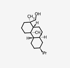 CC(C)[C@H]1CC[C@H]2[C@@H](CC[C@H]3[C@](C)(CO)CCC[C@]23C)C1